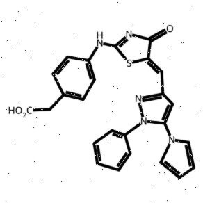 O=C(O)Cc1ccc(NC2=NC(=O)C(=Cc3cc(-n4cccc4)n(-c4ccccc4)n3)S2)cc1